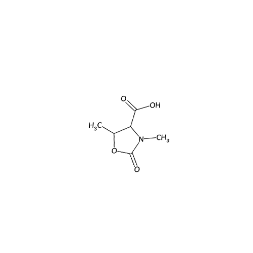 CC1OC(=O)N(C)C1C(=O)O